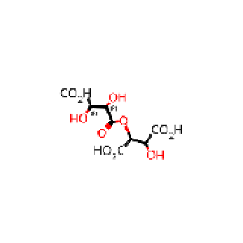 O=C(O)C(O)C(OC(=O)[C@H](O)[C@@H](O)C(=O)O)C(=O)O